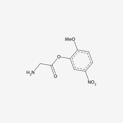 COc1ccc([N+](=O)[O-])cc1OC(=O)CN